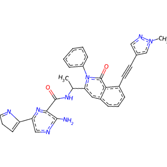 CC(NC(=O)c1nc(C2=CCC=N2)cnc1N)c1cc2cccc(C#Cc3cnn(C)c3)c2c(=O)n1-c1ccccc1